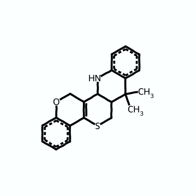 CC1(C)c2ccccc2NC2C3=C(SCC21)c1ccccc1OC3